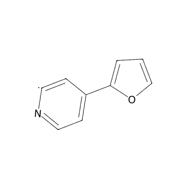 [c]1cc(-c2ccco2)ccn1